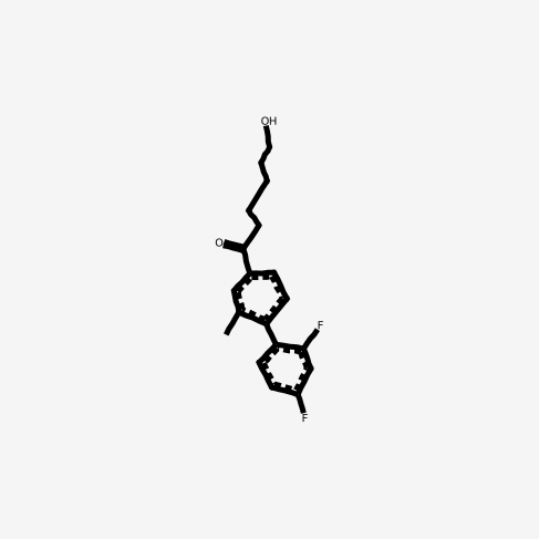 Cc1cc(C(=O)CCCCCO)ccc1-c1ccc(F)cc1F